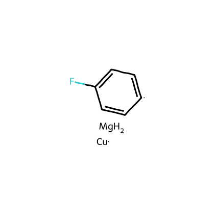 Fc1cc[c]cc1.[Cu].[MgH2]